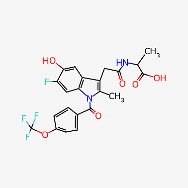 Cc1c(CC(=O)NC(C)C(=O)O)c2cc(O)c(F)cc2n1C(=O)c1ccc(OC(F)(F)F)cc1